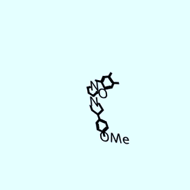 COc1ccc(C2CCN(C3CCN(Cc4ccc(C)c(C)c4)C3=O)CC2)cc1